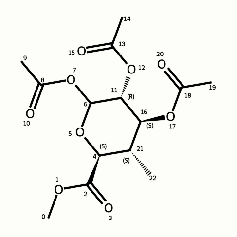 COC(=O)[C@H]1OC(OC(C)=O)[C@H](OC(C)=O)[C@@H](OC(C)=O)[C@@H]1C